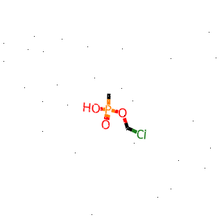 CP(=O)(O)OCCl